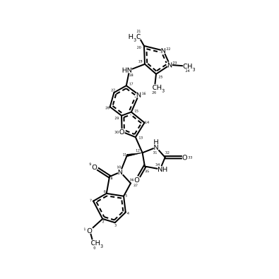 COc1ccc2c(c1)C(=O)N(C[C@@]1(c3cc4nc(Nc5c(C)nn(C)c5C)ccc4o3)NC(=O)NC1=O)C2